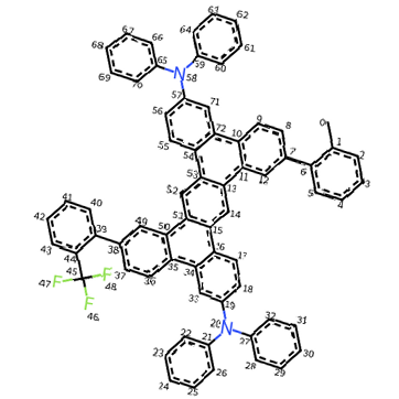 Cc1ccccc1-c1ccc2c(c1)c1cc3c4ccc(N(c5ccccc5)c5ccccc5)cc4c4ccc(-c5ccccc5C(F)(F)F)cc4c3cc1c1ccc(N(c3ccccc3)c3ccccc3)cc21